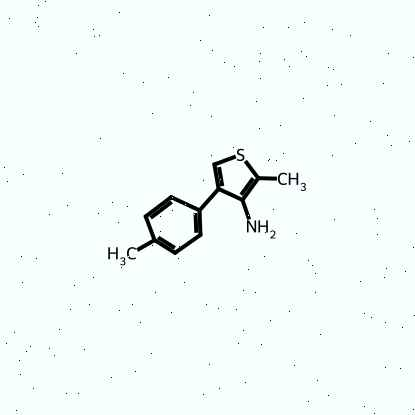 Cc1ccc(-c2csc(C)c2N)cc1